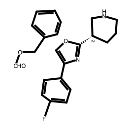 Fc1ccc(-c2coc([C@H]3CCCNC3)n2)cc1.O=COCc1ccccc1